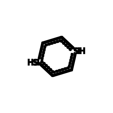 c1c[siH]cc[siH]1